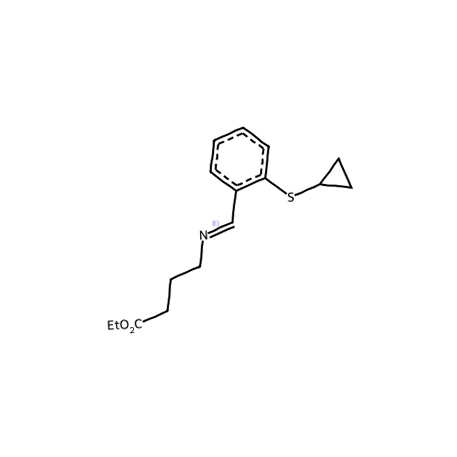 CCOC(=O)CCC/N=C/c1ccccc1SC1CC1